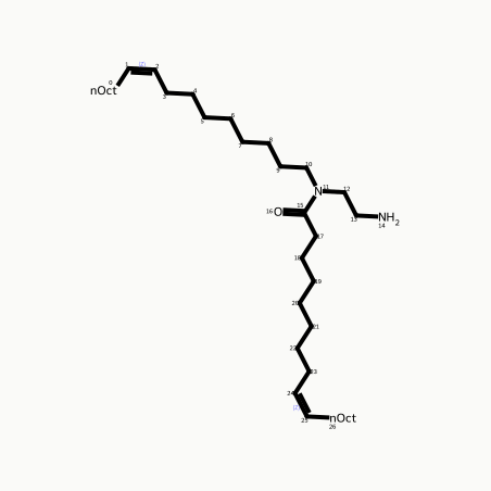 CCCCCCCC/C=C\CCCCCCCCN(CCN)C(=O)CCCCCCC/C=C\CCCCCCCC